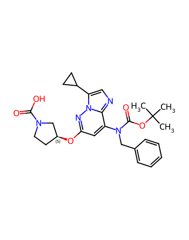 CC(C)(C)OC(=O)N(Cc1ccccc1)c1cc(O[C@H]2CCN(C(=O)O)C2)nn2c(C3CC3)cnc12